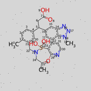 Cc1ccc(C(CC(=O)O)c2ccc3c(c2)nnn3C)cc1CN1CC(C)Oc2ncccc2S1(O)O